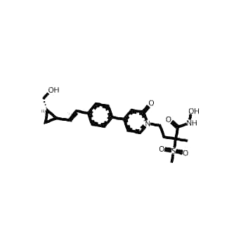 CC(CCn1ccc(-c2ccc(/C=C/C3C[C@@H]3CO)cc2)cc1=O)(C(=O)NO)S(C)(=O)=O